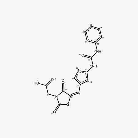 O=C(O)CN1C(=O)SC(=Cc2csc(NC(=O)Nc3ccccc3)n2)C1=O